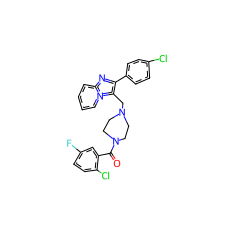 O=C(c1cc(F)ccc1Cl)N1CCN(Cc2c(-c3ccc(Cl)cc3)nc3ccccn23)CC1